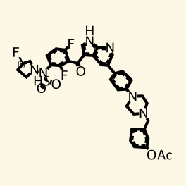 CC(=O)Oc1cccc(CN2CCN(c3ccc(-c4cnc5[nH]cc(C(=O)c6c(F)ccc(N(N7CC[C@@H](F)C7)[SH](=O)=O)c6F)c5c4)cc3)CC2)c1